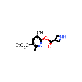 CCOC(=O)c1cc(C#N)c(OC(=O)C2CNC2)nc1C